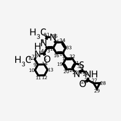 Cc1nc(C(=O)N[C@@H](C)C2CCCCC2)c2cc(-c3ccc4nc(NC(=O)C5CC5)sc4c3)ccc2n1